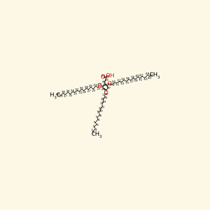 CCCCCCCCCCCCCCCCCCOc1cc(OCCCCCCCCCCCCCCCCCC)c(CCC(=O)O)c(OCCCCCCCCCCCCCCCCCC)c1